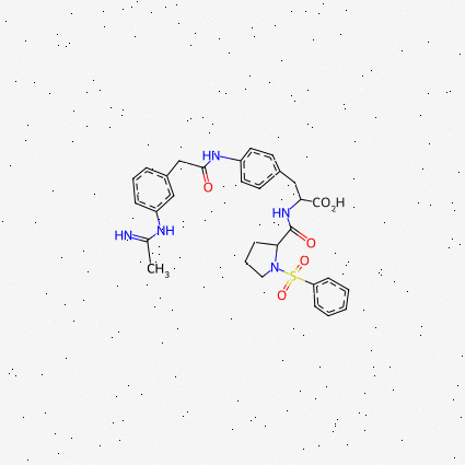 CC(=N)Nc1cccc(CC(=O)Nc2ccc(CC(NC(=O)C3CCCN3S(=O)(=O)c3ccccc3)C(=O)O)cc2)c1